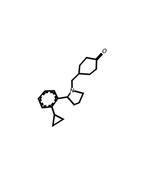 O=C1CCC(CN2CCCC2c2ccccc2C2CC2)CC1